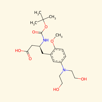 COc1ccc(N(CCO)CCO)cc1C[C@@H](CC(=O)O)NC(=O)OC(C)(C)C